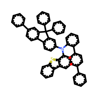 c1ccc(-c2ccc(-c3ccccc3N(c3ccc4c(c3)C(c3ccccc3)(c3ccccc3)c3cc(-c5ccccc5)ccc3-4)c3cccc4c3sc3ccccc34)cc2)cc1